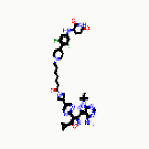 CC(C)(C)n1nc(-c2noc(C3CC3)c2-c2ncc(C3CN(C(=O)CCCCCCN4CCC(c5c(F)cc(NC6CCC(=O)NC6=O)cc5F)CC4)C3)cn2)c2c(N)ncnc21